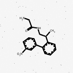 CC(CNC(=O)CN)c1ccccc1-c1cccc([N+](=O)[O-])c1